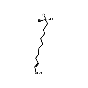 CCCCCCCCC=CCCCCCCCC[N+]([O-])(CC)CC